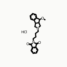 COC1c2ccccc2C2CN(CCCCN3C(=O)c4ccccc4C3=O)CC21.Cl